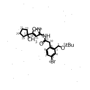 CC(C)(C)OCc1cc(Br)ccc1CC(=O)Nc1cc(C2(C)CCCC2)on1